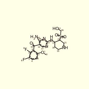 COc1ccc(F)c(F)c1C(=O)c1cnc(NC2CCNCC2S(=O)(=O)CO)nc1N